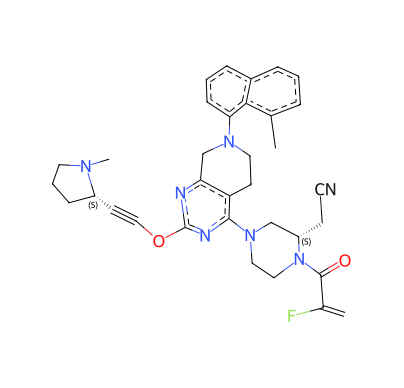 C=C(F)C(=O)N1CCN(c2nc(OC#C[C@@H]3CCCN3C)nc3c2CCN(c2cccc4cccc(C)c24)C3)C[C@@H]1CC#N